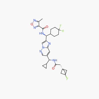 Cc1nonc1C(=O)N[C@H](c1cn2ncc(C(NC(=O)C[C@]34C[C@@](F)(C3)C4)C3CC3)cc2n1)C1CCC(F)(F)CC1